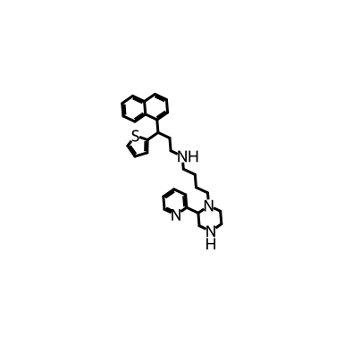 c1ccc(C2CNCCN2CCCCNCCC(c2cccs2)c2cccc3ccccc23)nc1